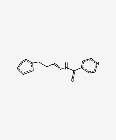 O=C(NN=CCCc1ccccc1)c1ccncc1